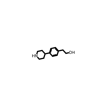 OCCc1ccc(C2CCNCC2)cc1